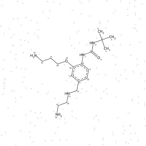 CC(C)(C)NC(=O)Nc1ccc(CNCCN)cc1OCCCN